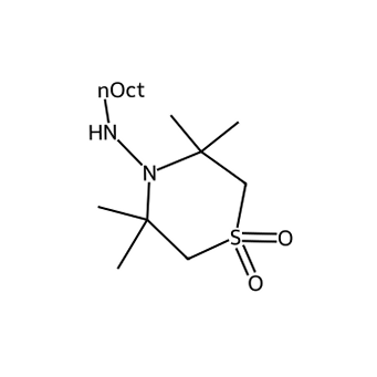 CCCCCCCCNN1C(C)(C)CS(=O)(=O)CC1(C)C